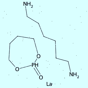 NCCCCCCN.O=[PH]1OCCCCO1.[La]